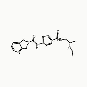 CCOC(C)CNC(=O)c1ccc(NC(=O)N2Cc3cccnc3C2)cc1